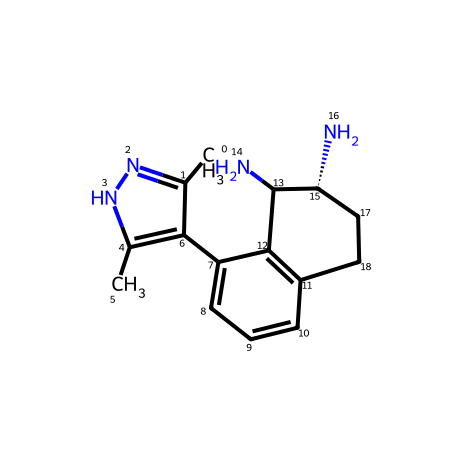 Cc1n[nH]c(C)c1-c1cccc2c1C(N)[C@H](N)CC2